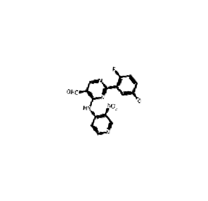 O=Cc1cnc(-c2cc(Cl)ccc2F)nc1Nc1ccncc1[N+](=O)[O-]